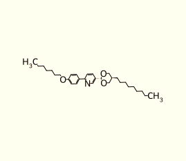 CCCCCCCCC[C@H]1CO[C@H](c2ccc(-c3ccc(OCCCCCCC)cc3)nc2)OC1